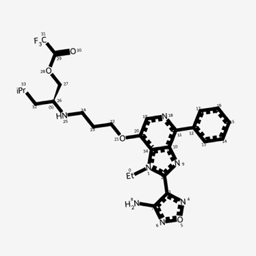 CCn1c(-c2nonc2N)nc2c(-c3ccccc3)ncc(OCCCN[C@H](COC(=O)C(F)(F)F)CC(C)C)c21